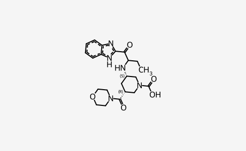 CCC(N[C@H]1C[C@@H](C(=O)N2CCOCC2)CN(C(=O)O)C1)C(=O)c1nc2ccccc2[nH]1